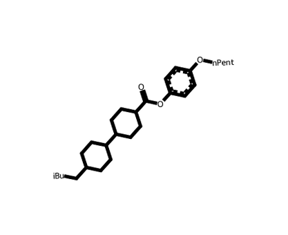 CCCCCOc1ccc(OC(=O)C2CCC(C3CCC(CC(C)CC)CC3)CC2)cc1